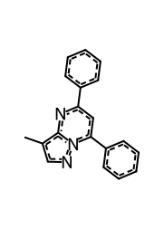 Cc1cnn2c(-c3ccccc3)cc(-c3ccccc3)nc12